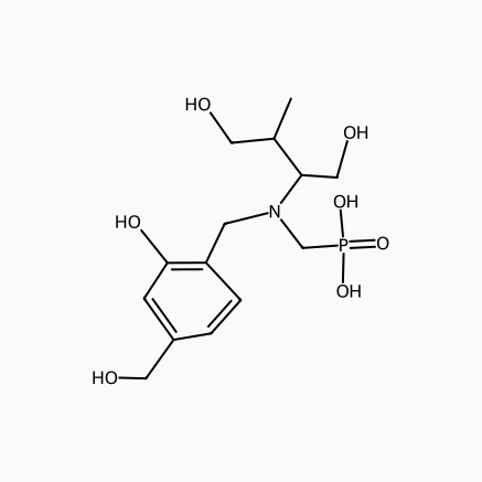 CC(CO)C(CO)N(Cc1ccc(CO)cc1O)CP(=O)(O)O